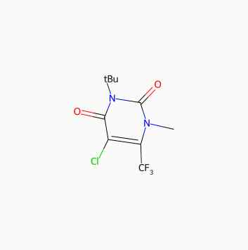 Cn1c(C(F)(F)F)c(Cl)c(=O)n(C(C)(C)C)c1=O